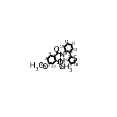 COc1ccc(C(=O)Nc2ccccc2-c2cccs2)c(OC)c1